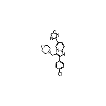 Clc1ccc(-c2nc3ccc(-c4ncon4)cn3c2CN2CCOCC2)cc1